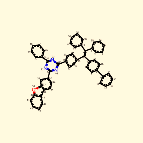 c1ccc(C(=C(c2ccc(-c3ccccc3)cc2)c2ccc(-c3nc(-c4ccccc4)nc(-c4ccc5c(c4)oc4ccccc45)n3)cc2)c2ccccc2)cc1